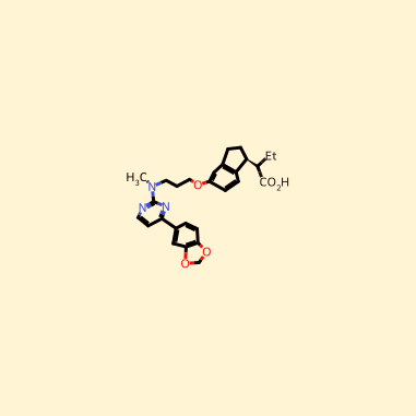 CCC(C(=O)O)[C@@H]1CCc2cc(OCCCN(C)c3nccc(-c4ccc5c(c4)OCO5)n3)ccc21